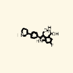 OC1NOCc2c(-c3ccc(C4CCCNC4)cc3)[nH]c3cc(F)cc1c23